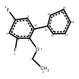 CCOc1c(F)cc(F)cc1-c1ccccc1